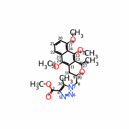 COC(=O)c1nnn(C[C@H]2Cc3c(c(OC)c4c(OC)cccc4c3OC)[C@@H](C)O2)c1C